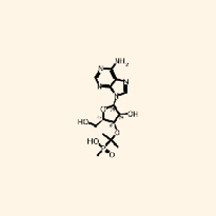 CC(C)(O[C@@H]1[C@H](O)[C@H](n2cnc3c(N)ncnc32)O[C@@H]1CO)P(C)(=O)O